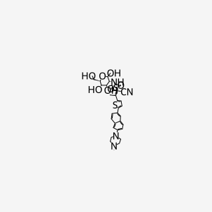 C/C(=C(/C#N)S(=O)(=O)N[C@H]1C(O)O[C@H](CO)[C@@H](O)[C@@H]1O)c1ccc(-c2ccc3cc(N4CCN(C)CC4)ccc3c2)s1